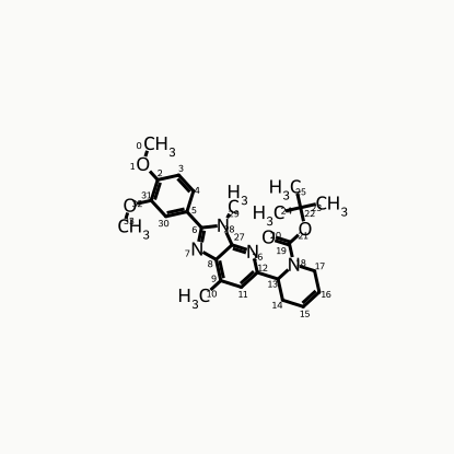 COc1ccc(-c2nc3c(C)cc(C4CC=CCN4C(=O)OC(C)(C)C)nc3n2C)cc1OC